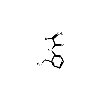 C=C(Br)C(=O)Nc1ccccc1OC